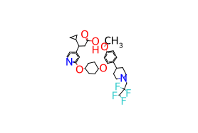 COc1ccc(C2CCN(CC(F)(F)C(F)F)CC2)c(O[C@H]2CC[C@@H](Oc3cc(C(CC(=O)O)C4CC4)ccn3)CC2)c1